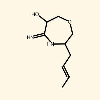 C/C=C/CC1COCC(O)C(=N)N1